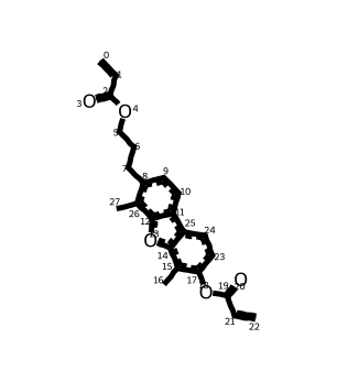 C=CC(=O)OCCCc1ccc2c(oc3c(C)c(OC(=O)C=C)ccc32)c1C